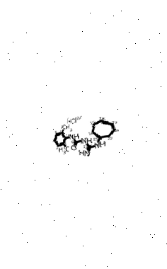 Cc1cccc(C)c1NC(=O)NC(=N)NC1CCC=CCC1.Cl